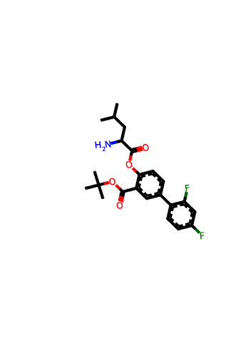 CC(C)CC(N)C(=O)Oc1ccc(-c2ccc(F)cc2F)cc1C(=O)OC(C)(C)C